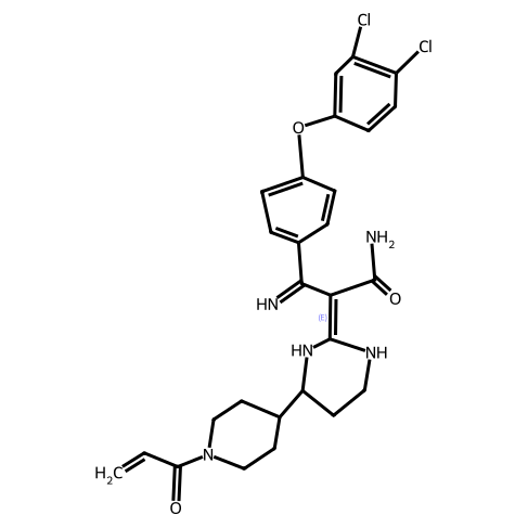 C=CC(=O)N1CCC(C2CCN/C(=C(/C(=N)c3ccc(Oc4ccc(Cl)c(Cl)c4)cc3)C(N)=O)N2)CC1